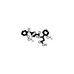 COc1ccccc1Nc1nc(C(=O)NC(CC(=O)O)c2ccccc2C)cs1